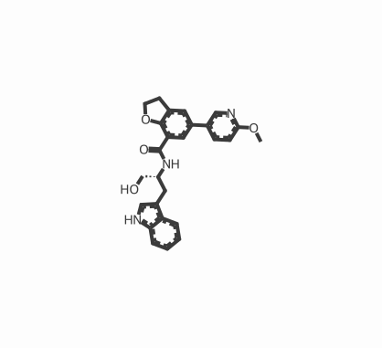 COc1ccc(-c2cc3c(c(C(=O)N[C@@H](CO)Cc4c[nH]c5ccccc45)c2)OCC3)cn1